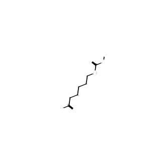 CCCCOC(=O)NCCCCCC(N)=O